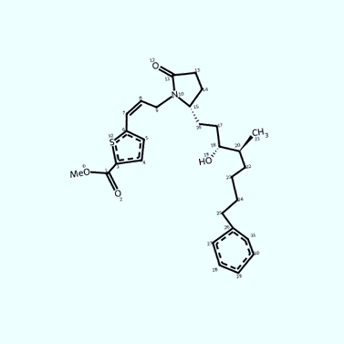 COC(=O)c1ccc(/C=C\CN2C(=O)CC[C@@H]2CC[C@@H](O)[C@@H](C)CCCCc2ccccc2)s1